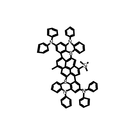 Cc1cc2c3c(cc4c([Si](C)(C)C)cc5c6c(cc1c3c46)B1c3ccccc3N(c3ccccc3)c3cc(N(c4ccccc4)c4ccccc4)cc-5c31)B1c3ccccc3N(c3ccccc3)c3cc(N(c4ccccc4)c4ccccc4)cc-2c31